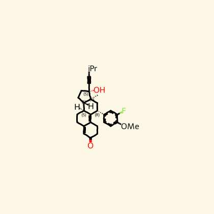 COc1ccc([C@H]2C[C@@]3(C)[C@@H](CC[C@@]3(O)C#CC(C)C)[C@@H]3CCC4=CC(=O)CCC4=C32)cc1F